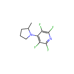 CC1CCCN1c1c(F)c(F)nc(F)c1F